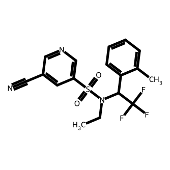 CCN(C(c1ccccc1C)C(F)(F)F)S(=O)(=O)c1cncc(C#N)c1